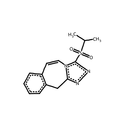 CC(C)S(=O)(=O)c1nnc2n1C=Cc1ccccc1C2